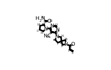 C=CC(=O)N1CC2(CCN(c3ncnc(N4CCC[C@@H]4C(N)=O)c3C#N)C2)C1